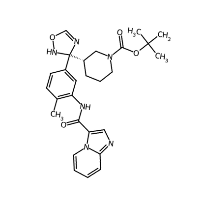 Cc1ccc(C2([C@H]3CCCN(C(=O)OC(C)(C)C)C3)N=CON2)cc1NC(=O)c1cnc2ccccn12